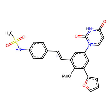 COc1c(/C=C/c2ccc(NS(C)(=O)=O)cc2)cc(-n2ccc(=O)[nH]c2=O)cc1-c1ccco1